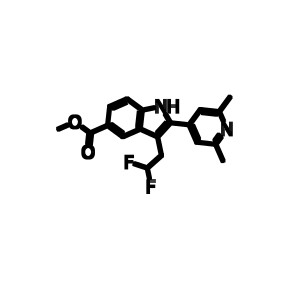 COC(=O)c1ccc2[nH]c(-c3cc(C)nc(C)c3)c(CC(F)F)c2c1